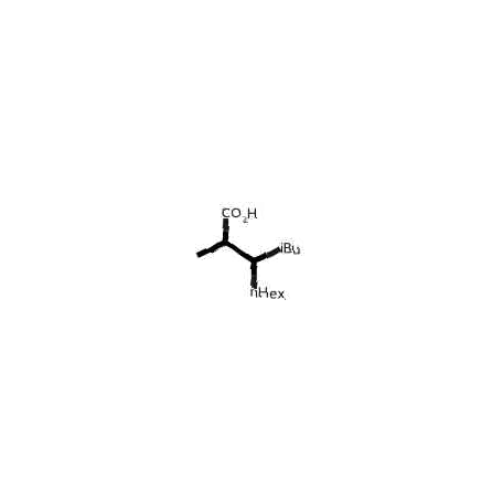 CCCCCCC(C(C)CC)C(C)C(=O)O